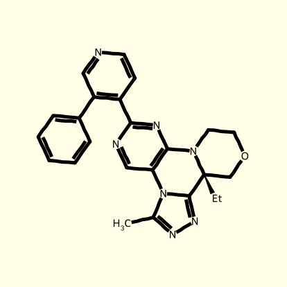 CC[C@]12COCCN1c1nc(-c3ccncc3-c3ccccc3)ncc1-n1c(C)nnc12